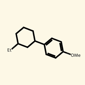 CCC1CCCC(c2ccc(OC)cc2)C1